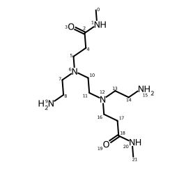 CNC(=O)CCN(CCN)CCN(CCN)CCC(=O)NC